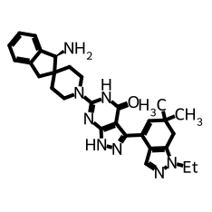 CCn1ncc2c1CC(C)(C)C=C2c1n[nH]c2nc(N3CCC4(CC3)Cc3ccccc3[C@H]4N)[nH]c(=O)c12